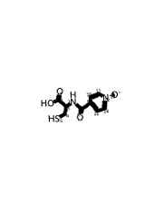 O=C(NC(CS)C(=O)O)c1cc[n+]([O-])cc1